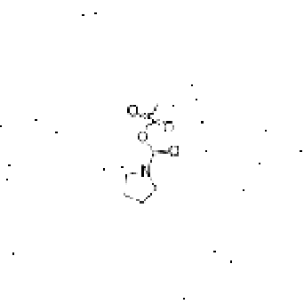 CS(=O)(=O)OC(=O)N1CCCC1